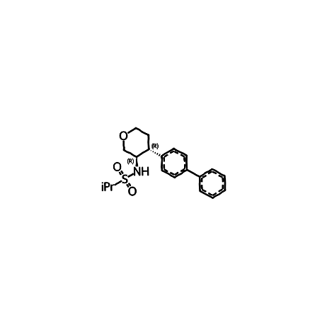 CC(C)S(=O)(=O)N[C@H]1COCC[C@@H]1c1ccc(-c2ccccc2)cc1